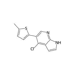 Cc1ccc(-c2cnc3[nH]ccc3c2Cl)s1